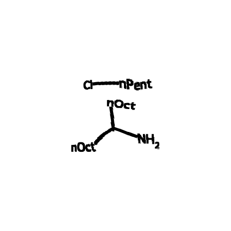 CCCCCCCC[C](N)CCCCCCCC.CCCCCCl